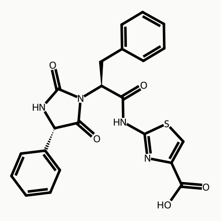 O=C(O)c1csc(NC(=O)[C@H](Cc2ccccc2)N2C(=O)N[C@@H](c3ccccc3)C2=O)n1